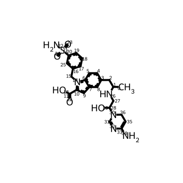 CC(Cc1ccc2c(c1)cc(C(=O)O)n2Cc1cccc(S(N)(=O)=O)c1)NCC(O)N1C=NC(N)=CC1